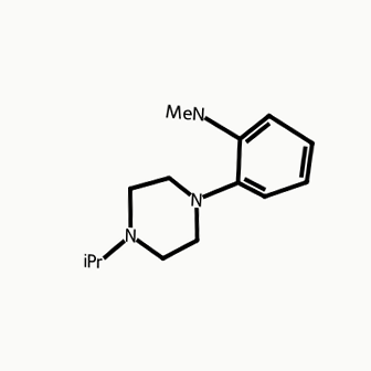 CNc1ccccc1N1CCN(C(C)C)CC1